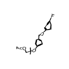 CC(=O)OCC(C)(C)Oc1ccc(COc2ccc(F)cc2)cc1